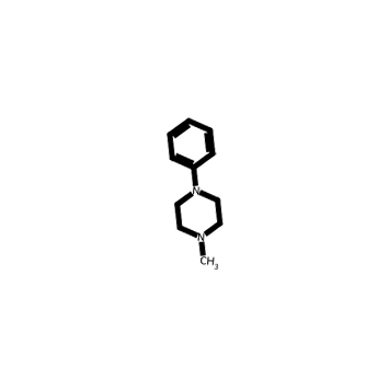 CN1CCN(c2[c]cccc2)CC1